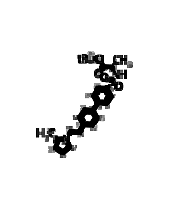 C[C@H](NS(=O)(=O)c1ccc(-c2ccc(CCN3CCC[C@H]3C)cc2)cc1)C(=O)OC(C)(C)C